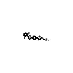 CC(C)(C)COc1ccc(-c2ccc(C3CCC(c4c(F)cccc4F)=N3)cc2)nn1